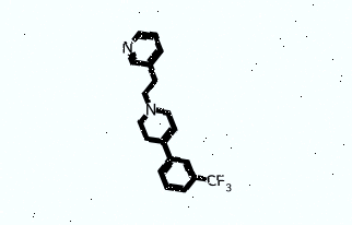 FC(F)(F)c1cccc(C2=CCN(CCc3cccnc3)CC2)c1